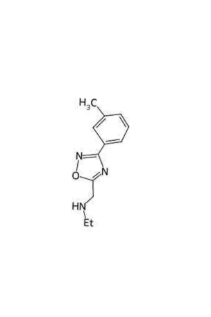 CCNCc1nc(-c2cccc(C)c2)no1